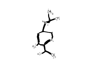 CC1=CC(BC(C)C)CN=C1C(C)C